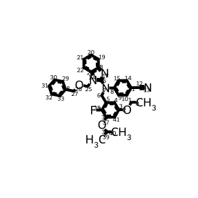 CCOc1cc(CN(c2ccc(C#N)cc2)c2nc3ccccc3n2COCc2ccccc2)c(F)c(OC(C)C)c1